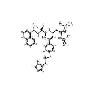 C[C@H](NC(=O)[C@H](CCCC(=N[S+](C)[O-])N[S+](C)[O-])NC(=O)c1ccc(CNCc2ncc[nH]2)cc1)c1cccc2ccccc12